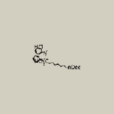 CCCCCCCCCCCCCCCCCC(=O)O.CN(C)c1ccccc1.CN(C)c1ccccc1.Cl